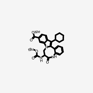 COC(=O)c1ccc2c(C3CCCCC3)c3n(c2c1)CC(NC(=O)OC(C)(C)C)C(=O)Nc1ccccc1-3